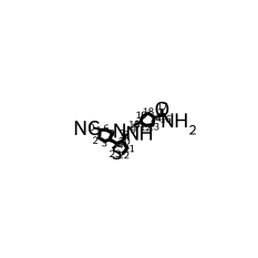 N#Cc1ccc2c(c1)nc(NCc1ccc(C(N)=O)cc1)c1ccsc12